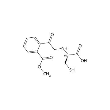 COC(=O)c1ccccc1C(=O)CN[C@H](CS)C(=O)O